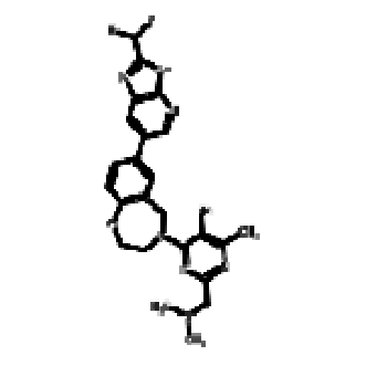 Cc1nc(CN(C)C)nc(N2CCOc3ccc(-c4cnc5[nH]c(C(F)F)nc5c4)cc3C2)c1C(C)C